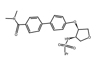 CC(C)S(=O)(=O)N[C@@H]1COC[C@@H]1Oc1ccc(-c2ccc(C(=O)N(C)C)cc2)cc1